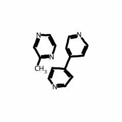 Cc1cnccn1.c1cc(-c2ccncc2)ccn1